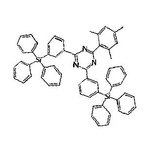 Cc1cc(C)c(-c2nc(-c3cccc([Si](c4ccccc4)(c4ccccc4)c4ccccc4)c3)nc(-c3cccc([Si](c4ccccc4)(c4ccccc4)c4ccccc4)c3)n2)c(C)c1